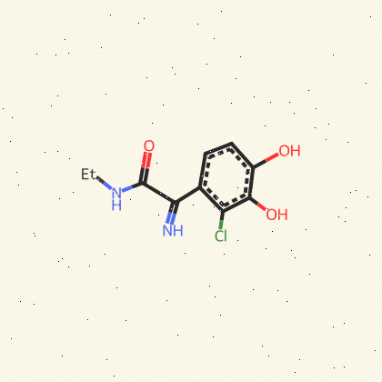 CCNC(=O)C(=N)c1ccc(O)c(O)c1Cl